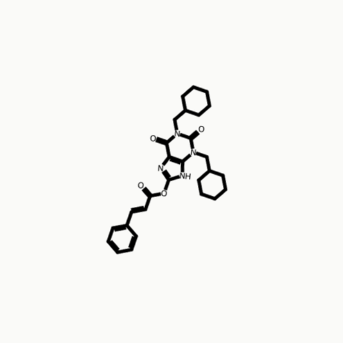 O=C(C=Cc1ccccc1)Oc1nc2c(=O)n(CC3CCCCC3)c(=O)n(CC3CCCCC3)c2[nH]1